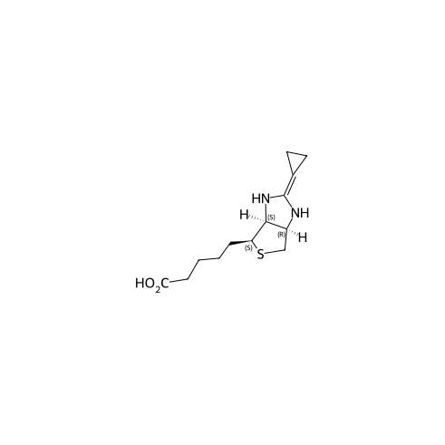 O=C(O)CCCC[C@@H]1SC[C@@H]2NC(=C3CC3)N[C@@H]21